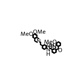 COc1cc2c(cc1OC)CN(CCc1ccc(NC(=O)c3cccc4c(=O)c5cccc(OC)c5[nH]c34)c(C)c1)CC2